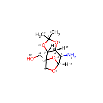 CC1(C)O[C@@H]2[C@@H](N)[C@H]3OC[C@](CO)(O3)[C@@H]2O1